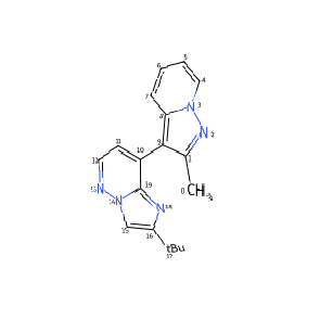 Cc1nn2ccccc2c1-c1ccnn2cc(C(C)(C)C)nc12